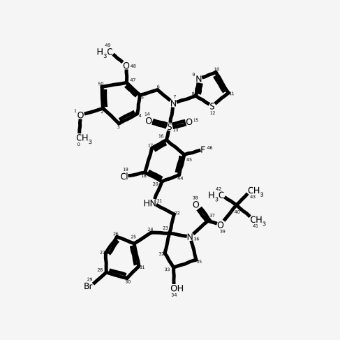 COc1ccc(CN(c2nccs2)S(=O)(=O)c2cc(Cl)c(NCC3(Cc4ccc(Br)cc4)CC(O)CN3C(=O)OC(C)(C)C)cc2F)c(OC)c1